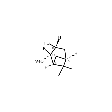 CO[C@]1(F)[C@H](O)C[C@@H]2C[C@H]1C2(C)C